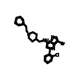 Clc1ccccc1-c1cc(NCC2CCN(CCc3ccccc3)CC2)n2ncc(Br)c2n1